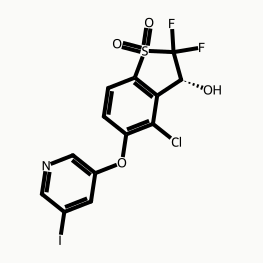 O=S1(=O)c2ccc(Oc3cncc(I)c3)c(Cl)c2[C@@H](O)C1(F)F